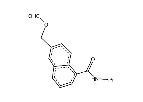 CC(C)NC(=O)c1cccc2cc(COC=O)ccc12